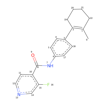 CC1=C(c2ccc(NC(=O)c3ccncc3F)cc2)CCCC1